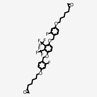 Fc1cc(OCCCCCC2CO2)ccc1COc1ccc(OCc2ccc(OCCCCCC3CO3)cc2F)c(C(F)(F)F)c1C(F)(F)F